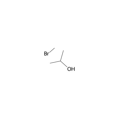 CBr.CC(C)O